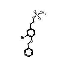 CS(=O)(=O)OCCc1ccc(OCc2ccccc2)c(Br)c1